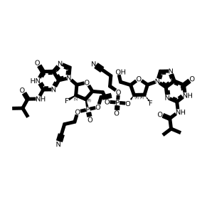 C=COP(=O)(OCCC#N)[C@@H]1C(COP(=O)(OCCC#N)O[C@@H]2C(CO)OC(n3cnc4c(=O)[nH]c(NC(=O)C(C)C)nc43)[C@@H]2F)OC(n2cnc3c(=O)[nH]c(NC(=O)C(C)C)nc32)[C@@H]1F